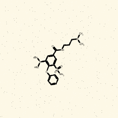 CCCCN(CCCC)c1cc(C(=O)NCCCN(C)C)cc(S(N)(=O)=O)c1Oc1ccccc1